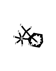 FC(F)(Cl)C(F)(F)S(F)(F)(F)(F)c1ccccn1